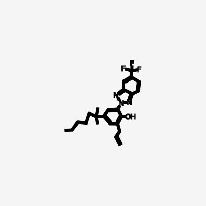 C=CCc1cc(C(C)(C)CCCCC)cc(-n2nc3ccc(C(F)(F)F)cc3n2)c1O